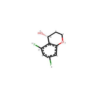 O[C@@H]1CCOc2cc(F)cc(F)c21